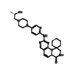 C[C@H](O)CN1CCN(c2ccc(Nc3ncc4c(n3)N3C(C=C4)C(=O)NCC34CCCCC4)nc2)CC1